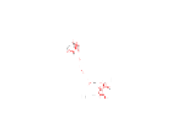 CCCCCC[Si](C)(O[Si](C)(C)C)O[Si](C)(CCC(CC(=O)OCCOCCOCC(C)OC(=O)CC(CC[Si](C)(O[Si](C)(C)O[Si](C)(C)C)O[Si](C)(CCCCCC)O[Si](C)(C)C)C(=O)O)C(=O)O)O[Si](C)(C)O[Si](C)(C)C